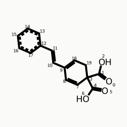 O=C(O)C1(C(=O)O)C=CC(C=Cc2ccccc2)=CC1